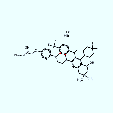 Br.Br.CC1(C)Cc2nc(C3CCN(c4ncc(OC[C@@H](O)CO)cn4)CC3)c(C(F)c3ccc(C(F)(F)F)cc3)c(C3CCC(F)(F)CC3)c2[C@@H](O)C1